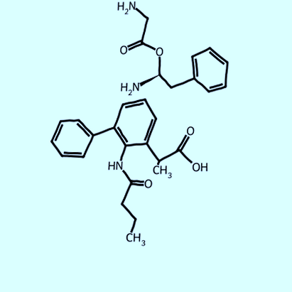 CCCC(=O)Nc1c(-c2ccccc2)cccc1C(C)C(=O)O.NCC(=O)O[C@H](N)Cc1ccccc1